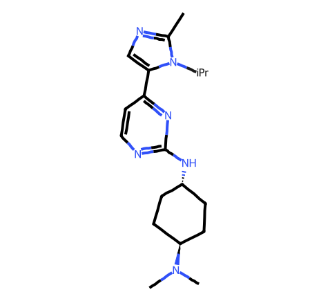 Cc1ncc(-c2ccnc(N[C@H]3CC[C@H](N(C)C)CC3)n2)n1C(C)C